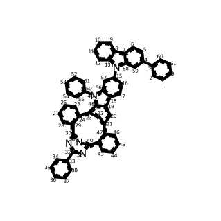 c1ccc(-c2ccc3c4ccccc4n(-c4ccc5c6cc7cc(c8ccccc8c8nc(-c9ccccc9)nc(n8)c8ccccc78)c6n(-c6ccccc6)c5c4)c3c2)cc1